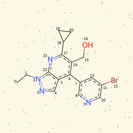 CCn1ncc2c(-c3cncc(Br)c3)c(CO)c(C3CC3)nc21